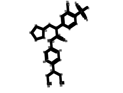 CS(=O)(=O)c1ccc(C(CC2CCCC2)C(=O)Nc2cnc(C(CO)CO)cn2)cc1Cl